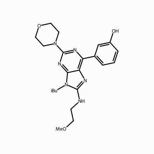 CCC(C)n1c(NCCOC)nc2c(-c3cccc(O)c3)nc(N3CCOCC3)nc21